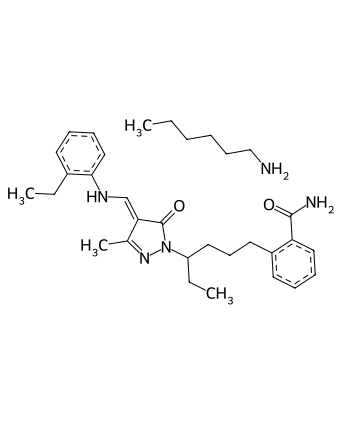 CCCCCCN.CCc1ccccc1NC=C1C(=O)N(C(CC)CCCc2ccccc2C(N)=O)N=C1C